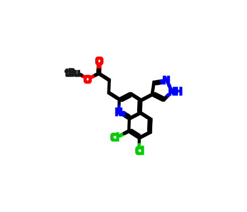 CC(C)(C)OC(=O)CCc1cc(-c2cn[nH]c2)c2ccc(Cl)c(Cl)c2n1